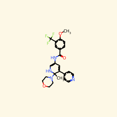 COc1ccc(C(=O)NC2=CNC(C)(N3CCOCC3)C(c3ccncc3)=C2)cc1C(F)(F)F